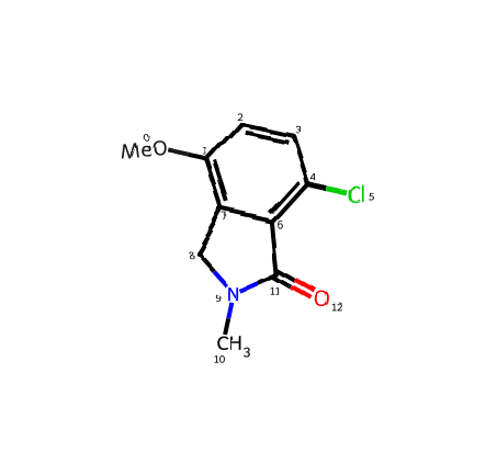 COc1ccc(Cl)c2c1CN(C)C2=O